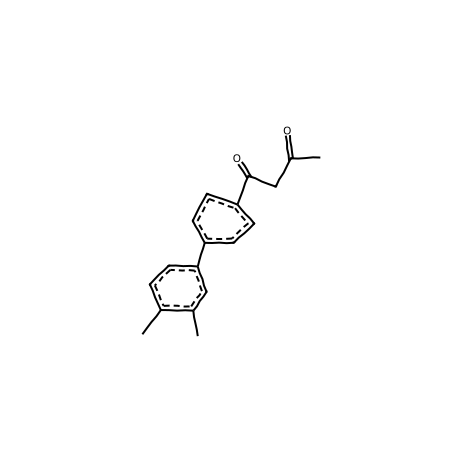 CC(=O)CC(=O)c1ccc(-c2ccc(C)c(C)c2)cc1